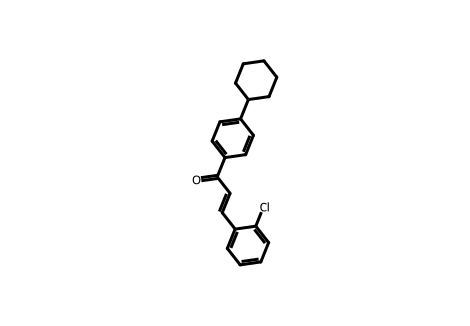 O=C(C=Cc1ccccc1Cl)c1ccc(C2CCCCC2)cc1